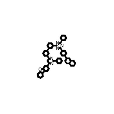 C1=CC2=CC(c3ccc(-c4nc(-c5ccccc5)nc(-c5cccc(-c6cccc(-c7cc(-c8ccc9c(c8)oc8ccccc89)nc(-c8ccccc8)n7)c6)c5)n4)cc3)=CCC2C=C1